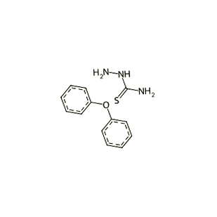 NNC(N)=S.c1ccc(Oc2ccccc2)cc1